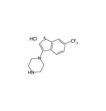 Cl.FC(F)(F)c1ccc2c(N3CCNCC3)csc2c1